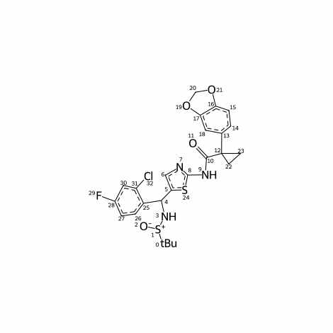 CC(C)(C)[S+]([O-])NC(c1cnc(NC(=O)C2(c3ccc4c(c3)OCO4)CC2)s1)c1ccc(F)cc1Cl